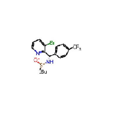 CC(C)(C)[S+]([O-])N[C@@H](c1ccc(C(F)(F)F)cc1)c1ncccc1Br